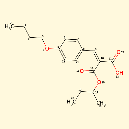 CCCCOc1ccc(C=C(C(=O)O)C(=O)OC(C)CC)cc1